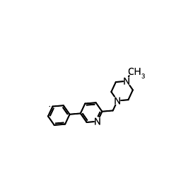 CN1CCN(Cc2ccc(-c3c[c]ccc3)cn2)CC1